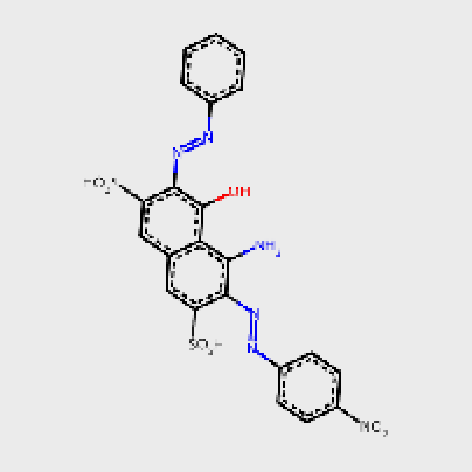 Nc1c(N=Nc2ccc([N+](=O)[O-])cc2)c(S(=O)(=O)O)cc2cc(S(=O)(=O)O)c(N=Nc3ccccc3)c(O)c12